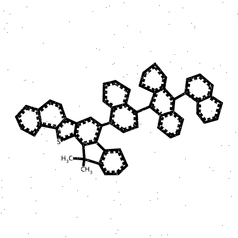 CC1(C)c2ccccc2-c2c(-c3ccc(-c4c5ccccc5c(-c5cccc6ccccc56)c5ccccc45)c4ccccc34)cc3c(sc4c5ccccc5ccc34)c21